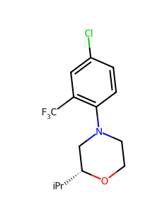 CC(C)[C@@H]1CN(c2ccc(Cl)cc2C(F)(F)F)CCO1